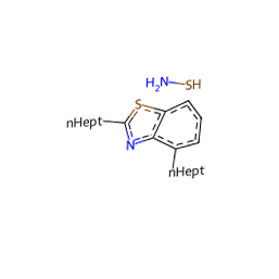 CCCCCCCc1nc2c(CCCCCCC)cccc2s1.NS